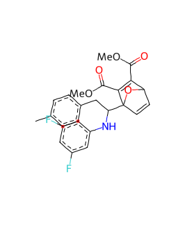 COC(=O)C1=C(C(=O)OC)C2(C(Cc3ccc(C)cc3)Nc3cc(F)cc(F)c3)C=CC1O2